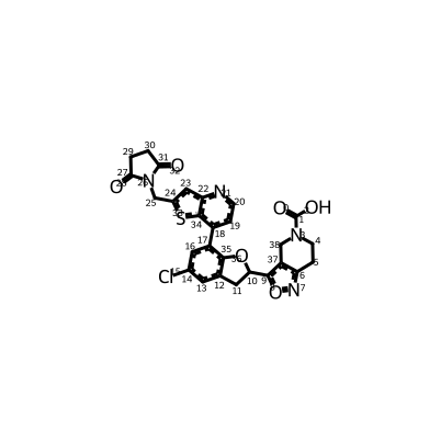 O=C(O)N1CCc2noc(C3Cc4cc(Cl)cc(-c5ccnc6cc(CN7C(=O)CCC7=O)sc56)c4O3)c2C1